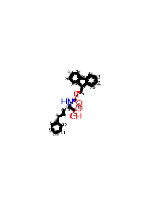 O=C(N[C@@H](CCCc1ccccc1)C(=O)O)OCC1c2ccccc2-c2ccccc21